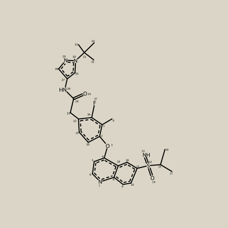 Cc1c(Oc2ccnc3ccc(S(=N)(=O)C(C)C)cc23)ccc(CC(=O)Nc2cnn(C(C)(C)C)c2)c1F